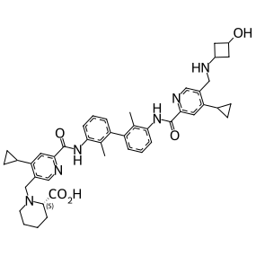 Cc1c(NC(=O)c2cc(C3CC3)c(CNC3CC(O)C3)cn2)cccc1-c1cccc(NC(=O)c2cc(C3CC3)c(CN3CCCC[C@H]3C(=O)O)cn2)c1C